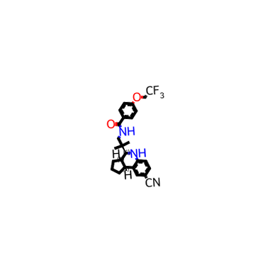 CC(C)(CNC(=O)c1ccc(OCC(F)(F)F)cc1)[C@H]1Nc2ccc(C#N)cc2[C@H]2CCC[C@H]21